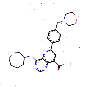 NC(=O)c1cc(-c2ccc(CN3CCOCC3)cc2)nc2c(NC3CCCCNC3)ncnc12